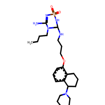 CCCCN1C(N)=NS(=O)(=O)NC1NCCCOc1cccc2c1CCCC2N1CCCCC1